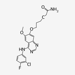 COc1cc2c(Nc3ccc(F)c(Cl)c3)ncnc2cc1OCCCCCC(N)=O